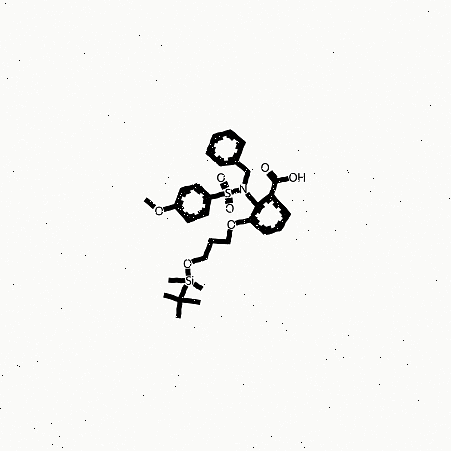 COc1ccc(S(=O)(=O)N(Cc2ccccc2)c2c(OCCCO[Si](C)(C)C(C)(C)C)cccc2C(=O)O)cc1